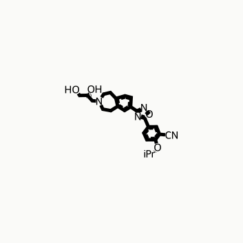 CC(C)Oc1ccc(-c2nc(-c3ccc4c(c3)CCN(C[C@@H](O)CO)CC4)no2)cc1C#N